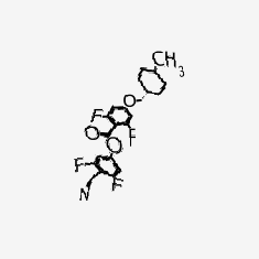 C[C@H]1CC[C@H](COc2cc(F)c(C(=O)Oc3cc(F)c(C#N)c(F)c3)c(F)c2)CC1